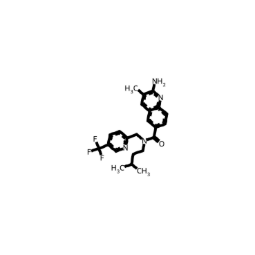 Cc1cc2cc(C(=O)N(CCC(C)C)Cc3ccc(C(F)(F)F)cn3)ccc2nc1N